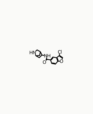 O=C(NC1CC2CC1CN2)c1ccc2occ(Cl)c2c1